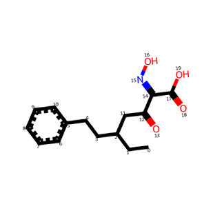 CCC(CCc1ccccc1)CC(=O)C(=NO)C(=O)O